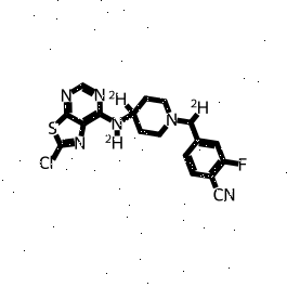 [2H]C(c1ccc(C#N)c(F)c1)N1CCC([2H])(N([2H])c2ncnc3sc(Cl)nc23)CC1